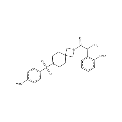 COc1ccc(S(=O)(=O)N2CCC3(CC2)CN(C(=O)C(C)c2ccccc2OC)C3)cc1